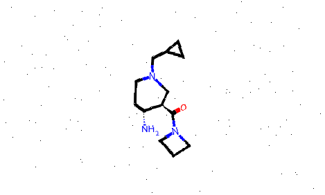 N[C@@H]1CCN(CC2CC2)C[C@H]1C(=O)N1CCC1